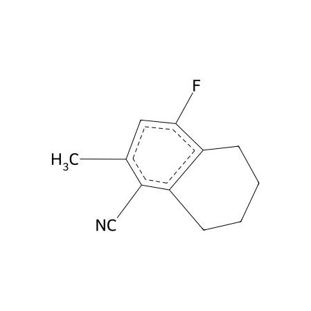 Cc1cc(F)c2c(c1C#N)CCCC2